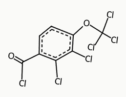 O=C(Cl)c1ccc(OC(Cl)(Cl)Cl)c(Cl)c1Cl